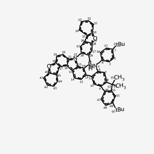 CC(C)(C)c1ccc(Nc2cc3c(cc2-c2ccc4c5c6c(ccc5n5c4c2Bc2cc4oc7ccccc7c4cc2-5)oc2ccccc26)-c2ccc(C(C)(C)C)cc2C3(C)C)cc1